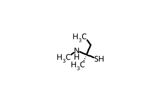 CC[C@@](C)(S)NC